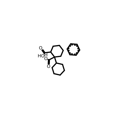 O=C(O)C1CCCCC1(C(=O)O)C1CCCCC1.c1ccccc1